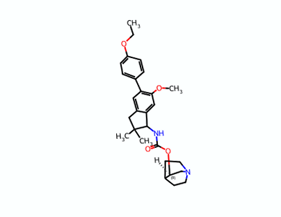 CCOc1ccc(-c2cc3c(cc2OC)C(NC(=O)O[C@H]2CN4CCC2CC4)C(C)(C)C3)cc1